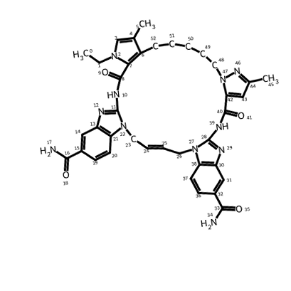 CCn1cc(C)c2c1C(=O)Nc1nc3cc(C(N)=O)ccc3n1C/C=C/Cn1c(nc3cc(C(N)=O)ccc31)NC(=O)c1cc(C)nn1CCCCC2